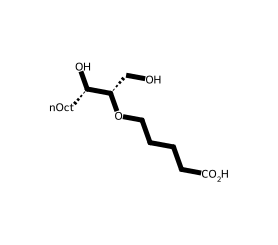 CCCCCCCC[C@H](O)[C@H](CO)OCCCCC(=O)O